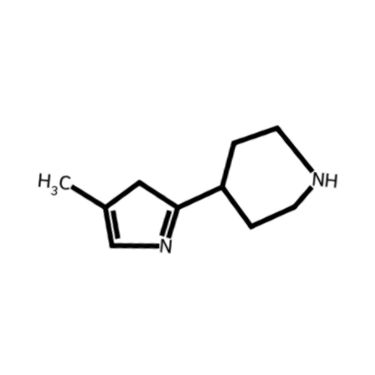 CC1=CN=C(C2CCNCC2)C1